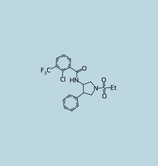 CCS(=O)(=O)N1CC(NC(=O)c2cccc(C(F)(F)F)c2Cl)C(c2ccccc2)C1